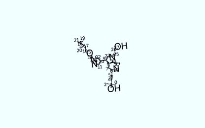 CC(C)(O)C#Cc1cc2c(-c3cnn(COCCS(C)(C)C)c3)cn(CCO)c2cn1